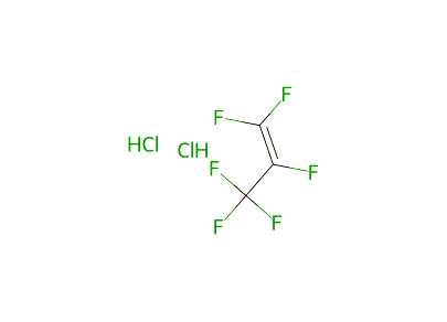 Cl.Cl.FC(F)=C(F)C(F)(F)F